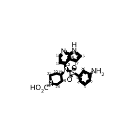 Nc1cccc(S(=O)(=O)N(c2ccnc3[nH]ccc23)C2CCN(C(=O)O)CC2)c1